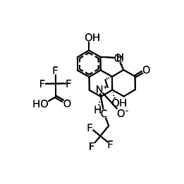 O=C(O)C(F)(F)F.O=C1CC[C@@]2(O)[C@H]3Cc4ccc(O)c5c4[C@@]2(CC[N+]3([O-])CCC(F)(F)F)[C@H]1O5